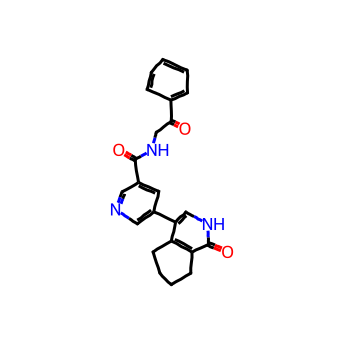 O=C(CNC(=O)c1cncc(-c2c[nH]c(=O)c3c2CCCC3)c1)c1ccccc1